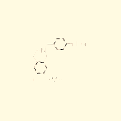 CCCCCc1ccc(CN2CCc3cc(CC)c(OC)cc3C2)cc1